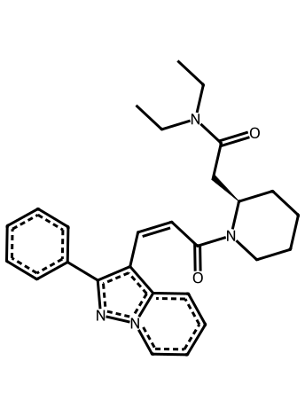 CCN(CC)C(=O)C[C@H]1CCCCN1C(=O)C=Cc1c(-c2ccccc2)nn2ccccc12